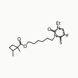 CCn1cc(F)c(=S)n(CCCCCCOC(=O)C2(C)CCC2C)c1=O